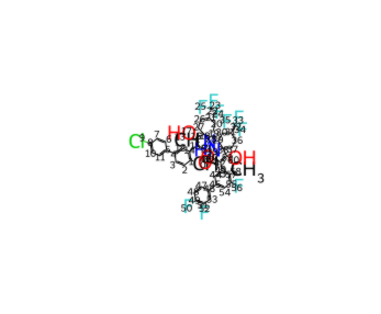 Cc1ccc(-c2ccc(Cl)cc2)c(C)c1C1=C(O)[C@]2(CC[C@@H](C(F)(F)F)CC2)N(C2CC(C(F)(F)F)CCC23NC(=O)C(c2cc(-c4ccc(F)c(F)c4)cc(F)c2C)=C3O)C1=O